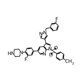 Cc1ccc(S(=O)(=O)n2cc(-c3cnn(Cc4cccc(F)c4)c3)c3cc(-c4ccc(N5CCNCC5)c(F)c4)cnc32)cc1